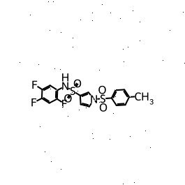 Cc1ccc(S(=O)(=O)n2ccc(S(=O)(=O)Nc3cc(F)c(F)cc3F)c2)cc1